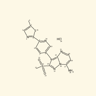 Cc1cnc(-c2ccc(-c3c(S(C)(=O)=O)nn4c(N)ccnc34)cn2)s1.Cl